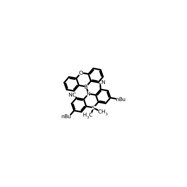 CCCCc1cc(C#N)c2c(c1)S(C)(C)c1cc(CCCC)cc(C#N)c1N2B1c2ccccc2Oc2ccccc21